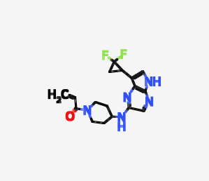 C=CC(=O)N1CCC(Nc2cnc3[nH]cc(C4CC4(F)F)c3n2)CC1